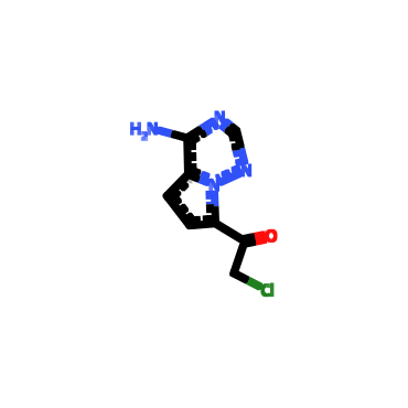 Nc1ncnn2c(C(=O)CCl)ccc12